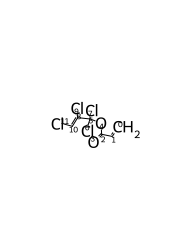 C=CC(=O)OC(Cl)(Cl)C(Cl)=CCl